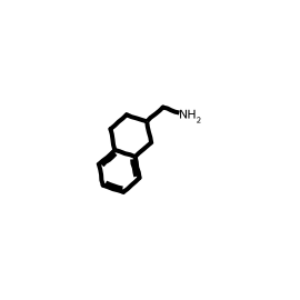 NCC1CCc2ccccc2C1